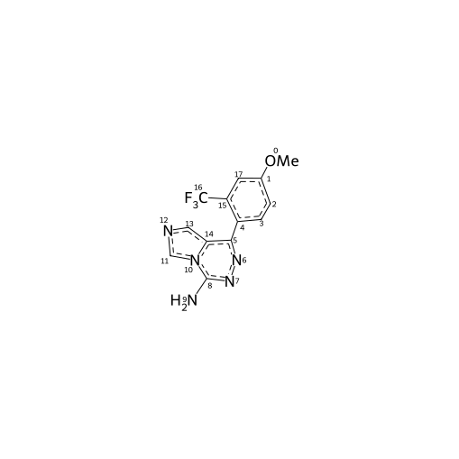 COc1ccc(-c2nnc(N)n3cncc23)c(C(F)(F)F)c1